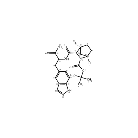 CC(C)(C)OC(=O)N1[C@@H]2CC[C@@H](C2)[C@H]1C(=O)NC(Cc1ccc2[nH]ncc2c1)C(N)=O